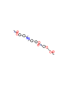 C=CC(=O)OCCCCOc1ccc(/C=C/C(=O)Oc2ccc(-c3ccc(/C(C)=N/N=C(\C)c4ccc(-c5ccc(OC(=O)/C=C/C)cc5)cc4)cc3)cc2)cc1